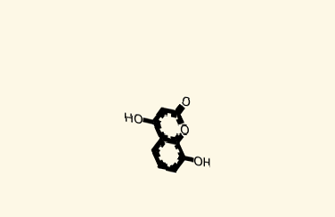 O=c1cc(O)c2cccc(O)c2o1